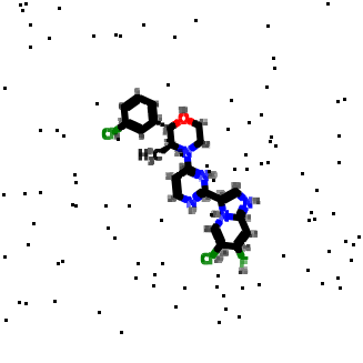 C[C@H]1[C@H](c2cccc(Cl)c2)OCCN1c1ccnc(-c2cnc3cc(F)c(Cl)cn23)n1